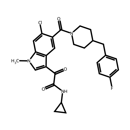 Cn1cc(C(=O)C(=O)NC2CC2)c2cc(C(=O)N3CCC(Cc4ccc(F)cc4)CC3)c(Cl)cc21